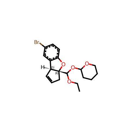 CCOC(OC1CCCCO1)[C@@]12CC=C[C@H]1c1cc(Br)ccc1O2